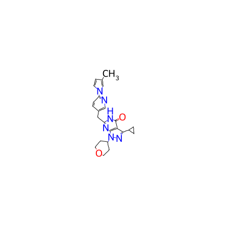 Cc1ccn(-c2ccc(Cc3nc4c(c(C5CC5)nn4C4CCOCC4)c(=O)[nH]3)cn2)c1